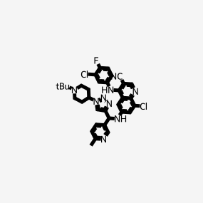 Cc1ccc(C(Nc2cc(Cl)c3ncc(C#N)c(Nc4ccc(F)c(Cl)c4)c3c2)c2cn(C3CCN(C(C)(C)C)CC3)nn2)cn1